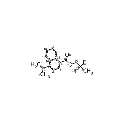 C=C(C)c1ccc(C(=O)OCC(C)(F)F)c2ccccc12